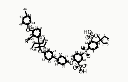 CCC(C)(CC)c1ccc(S(=O)(=O)c2ccc(Oc3ccc(-c4ccc(OC(C)(CC)C(CC)(CC)c5cccc(Oc6ccc(C)cc6)c5C#N)cc4)cc3)c(S(=O)(=O)O)c2)cc1S(=O)(=O)O